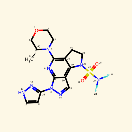 C[C@@H]1COCCN1c1nc2c(cnn2-c2cc[nH]n2)c2c1CCN2S(=O)(=O)N(F)F